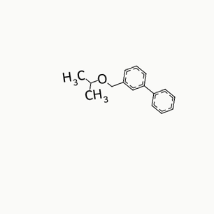 CC(C)OCc1cccc(-c2ccccc2)c1